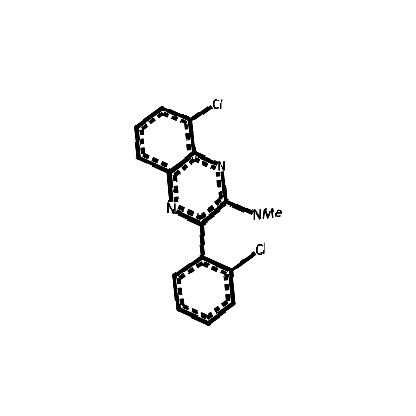 CNc1nc2c(Cl)cccc2nc1-c1ccccc1Cl